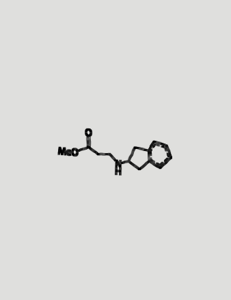 COC(=O)CCNC1Cc2ccccc2C1